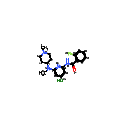 CN1CCC(N(C)c2cccc(NC(=O)c3ccccc3F)n2)CC1.Cl